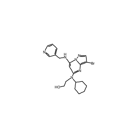 OCCN(c1cc(NCc2cccnc2)n2ncc(Br)c2n1)C1CCCCC1